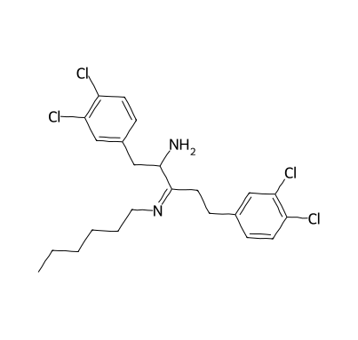 CCCCCCN=C(CCc1ccc(Cl)c(Cl)c1)C(N)Cc1ccc(Cl)c(Cl)c1